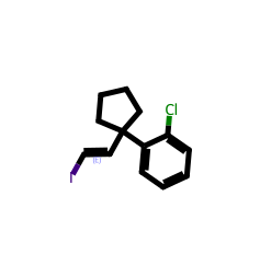 Clc1ccccc1C1(/C=C/I)CCCC1